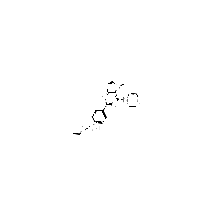 CCNNc1ccc(-c2nc(N3CCOCC3)c3c(ncn3C)n2)cc1